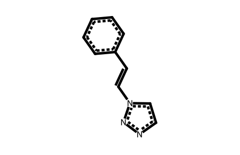 C(=C\n1ccnn1)/c1ccccc1